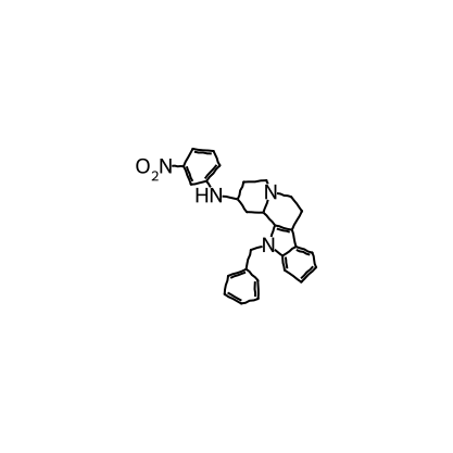 O=[N+]([O-])c1cccc(NC2CCN3CCc4c(n(Cc5ccccc5)c5ccccc45)C3C2)c1